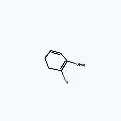 COC1=C(Br)CCC=C1